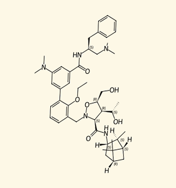 CCOc1c(CN2O[C@@H](CO)[C@@H]([C@H](C)O)[C@H]2C(=O)N[C@H]2C[C@H]3C[C@@H]([C@@H]2C)C3(C)C)cccc1-c1cc(C(=O)N[C@@H](Cc2ccccc2)CN(C)C)cc(N(C)C)c1